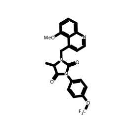 COc1cccc2nccc(CN3C(=O)N(c4ccc(OC(F)(F)F)cc4)C(=O)C3C)c12